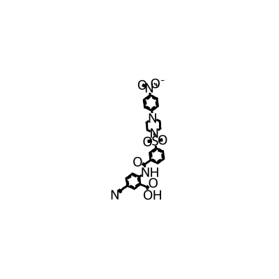 N#Cc1ccc(NC(=O)c2cccc(S(=O)(=O)N3CCN(c4ccc([N+](=O)[O-])cc4)CC3)c2)c(C(=O)O)c1